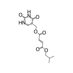 CC(C)COC(=O)/C=C/C(=O)OCc1c[nH]c(=O)[nH]c1=O